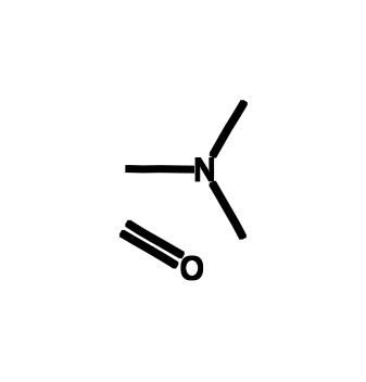 C=O.CN(C)C